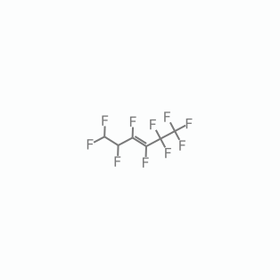 FC(=C(F)C(F)(F)C(F)(F)F)C(F)C(F)F